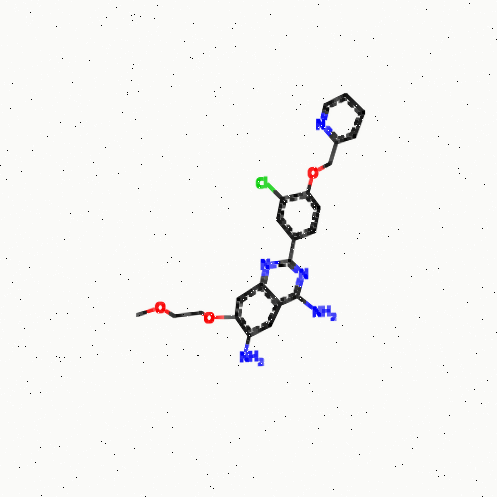 COCCOc1cc2nc(-c3ccc(OCc4ccccn4)c(Cl)c3)nc(N)c2cc1N